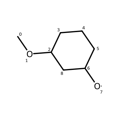 COC1CCCC([O])C1